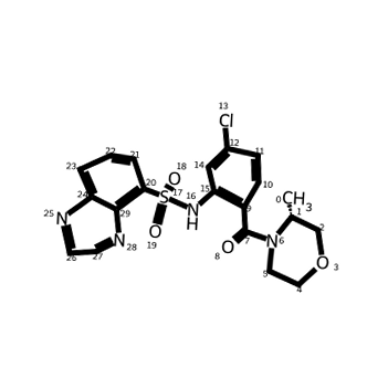 C[C@@H]1COCCN1C(=O)c1ccc(Cl)cc1NS(=O)(=O)c1cccc2nccnc12